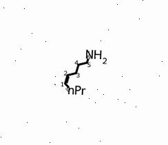 CCC/C=C\CCCN